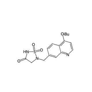 CC(C)COc1ccnc2cc(CN3CC(=O)NS3(=O)=O)ccc12